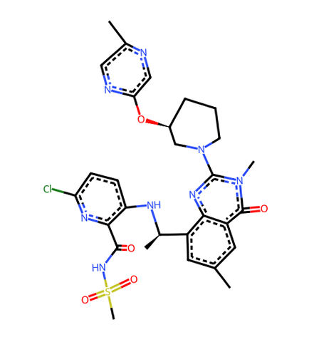 Cc1cc([C@@H](C)Nc2ccc(Cl)nc2C(=O)NS(C)(=O)=O)c2nc(N3CCC[C@H](Oc4cnc(C)cn4)C3)n(C)c(=O)c2c1